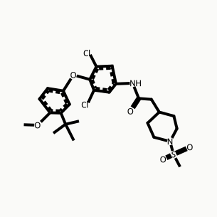 COc1ccc(Oc2c(Cl)cc(NC(=O)CC3CCN(S(C)(=O)=O)CC3)cc2Cl)cc1C(C)(C)C